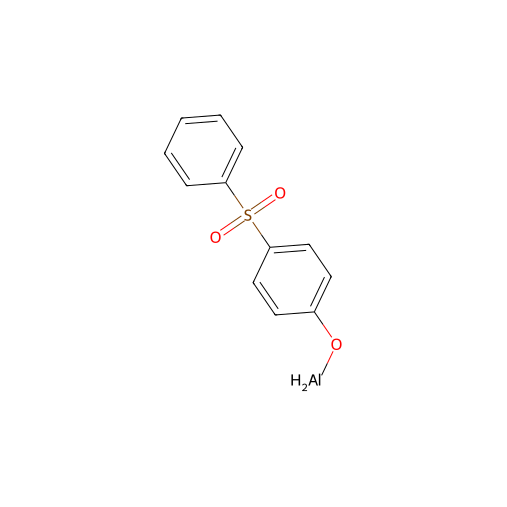 O=S(=O)(c1ccccc1)c1ccc([O][AlH2])cc1